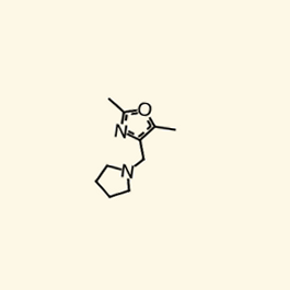 Cc1nc(CN2CCCC2)c(C)o1